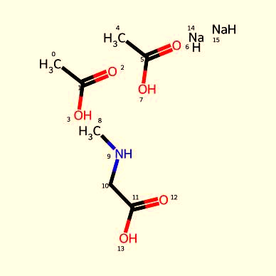 CC(=O)O.CC(=O)O.CNCC(=O)O.[NaH].[NaH]